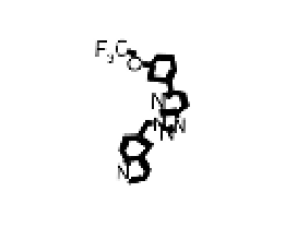 FC(F)(F)COc1cccc(-c2ccc3nnn(Cc4ccc5ncccc5c4)c3n2)c1